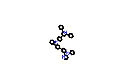 c1ccc(-c2cc(-c3ccc(-n4c5ccccc5c5ccc(-c6ccc7c(c6)c6ncccc6n7-c6ccccc6)cc54)cc3)cc(-c3ccccc3)n2)cc1